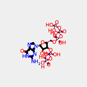 Nc1nc2c(ncn2[C@@H]2O[C@H](COP(=O)(O)OP(=O)(O)OP(=O)(O)O)C(OP(=O)(O)OP(=O)(O)O)C2O)c(=O)[nH]1